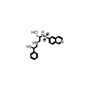 C[C@H](CNCC(S)c1ccccc1)NS(=O)(=O)c1ccc2cnccc2c1.Cl